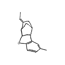 CC=C1CC2CC1C1Oc3ccc(C)cc3C21